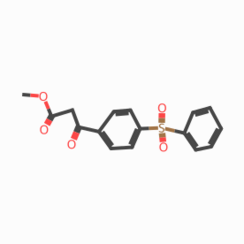 COC(=O)CC(=O)c1ccc(S(=O)(=O)c2ccccc2)cc1